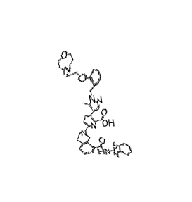 Cc1c(-c2ccc(N3CCc4cccc(C(=O)Nc5nc6ccccc6s5)c4C3)nc2C(=O)O)cnn1Cc1ccccc1OCCN1CCOCC1